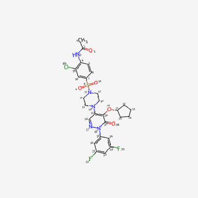 CC(=O)Nc1ccc(S(=O)(=O)N2CCN(c3cnn(-c4cc(F)cc(F)c4)c(=O)c3OC3CCCC3)CC2)cc1Cl